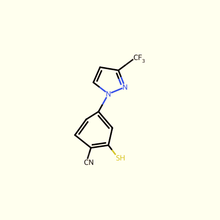 N#Cc1ccc(-n2ccc(C(F)(F)F)n2)cc1S